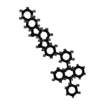 c1ccc(-c2c3ccccc3c(-c3cccc(-c4ccc5oc6c(ccc7c8cc9ccccc9cc8oc76)c5c4)c3)c3ccccc23)cc1